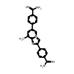 Cc1cc(-c2ccc(C(=N)N)cc2)cn2cc(-c3ccc(C(=N)N)cc3)nc12